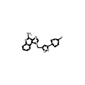 Nc1nc2ccccc2c2c1ncn2Cc1cc(-c2ccc(F)cc2)no1